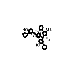 Cc1ccc(C(C)(c2ccc(C(C)(C)c3ccc(O)c(C4CCCCC4)c3)cc2)c2ccc(O)c(C3CCCCC3)c2)cc1C1CCCCC1